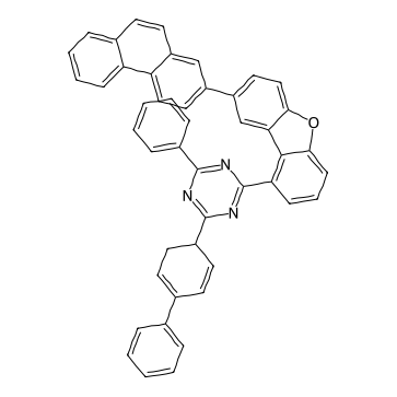 C1=CC(c2nc(-c3ccccc3)nc(-c3cccc4oc5ccc(-c6ccc7c(ccc8ccccc87)c6)cc5c34)n2)CC=C1c1ccccc1